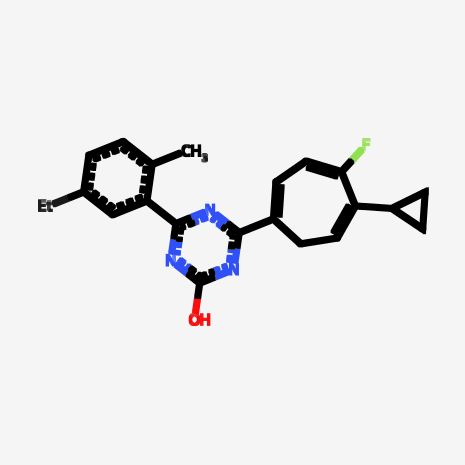 CCc1ccc(C)c(-c2nc(O)nc(C3=CC=C(F)C(C4CC4)=CC3)n2)c1